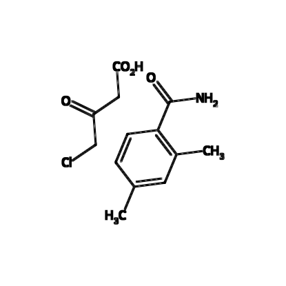 Cc1ccc(C(N)=O)c(C)c1.O=C(O)CC(=O)CCl